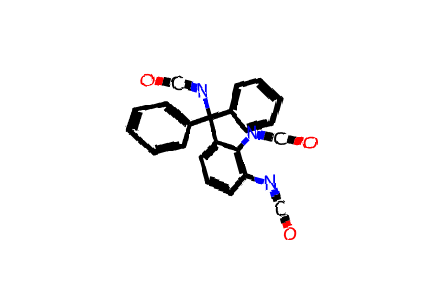 O=C=Nc1cccc(C(N=C=O)(c2ccccc2)c2ccccc2)c1N=C=O